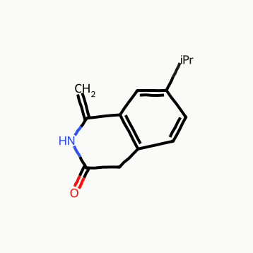 C=C1NC(=O)Cc2ccc(C(C)C)cc21